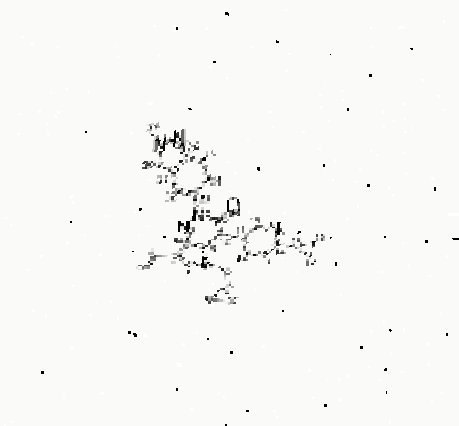 C=Cc1cn(CC2CC2)c2c(-c3ccc(C4CC4)nc3)c(=O)n(-c3ccc4nn(C)cc4c3)nc12